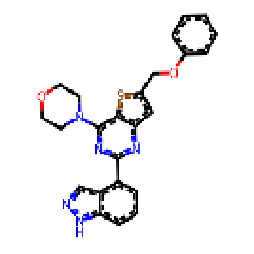 c1ccc(OCc2cc3nc(-c4cccc5[nH]ncc45)nc(N4CCOCC4)c3s2)cc1